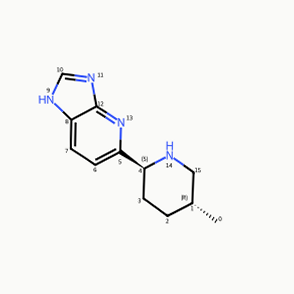 C[C@@H]1CC[C@@H](c2ccc3[nH]cnc3n2)NC1